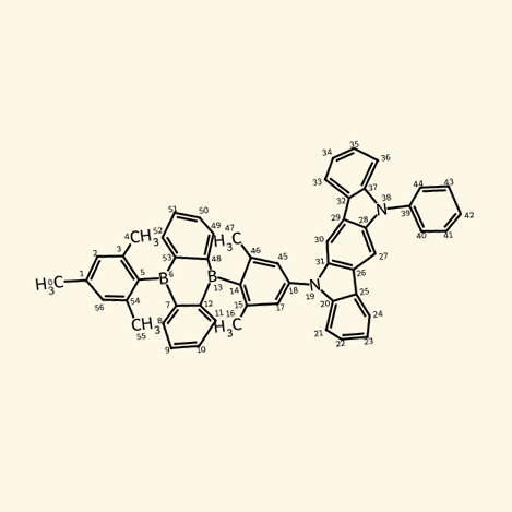 Cc1cc(C)c(B2c3ccccc3B(c3c(C)cc(-n4c5ccccc5c5cc6c(cc54)c4ccccc4n6-c4ccccc4)cc3C)c3ccccc32)c(C)c1